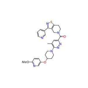 COc1ccc(OC2CCN(c3nnc(C(=O)N4CCc5snc(-c6cccnc6)c5C4)cc3C)CC2)cn1